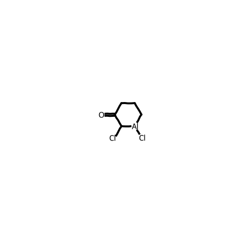 O=C1CC[CH2][Al]([Cl])[CH]1Cl